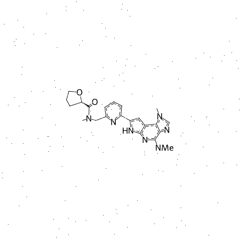 CNc1nc2[nH]c(-c3cccc(CN(C)C(=O)[C@H]4CCCO4)n3)cc2c2c1ncn2C